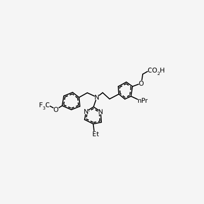 CCCc1cc(CCN(Cc2ccc(OC(F)(F)F)cc2)c2ncc(CC)cn2)ccc1OCC(=O)O